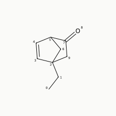 CCC12C=CC(C1)C(=O)C2